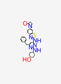 O=C1CCN1c1ccc2nc(Nc3cc(Cc4ccccc4)nc(NC4CCC(O)CC4)n3)sc2c1